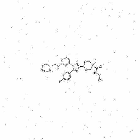 CC1(C(=O)NCC#N)COC(c2nc(-c3ccc(F)cc3)c(-c3ccnc(NCc4ccncc4)n3)[nH]2)OC1